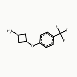 N[C@H]1C[C@@H](Oc2ccc(C(F)(F)F)cc2)C1